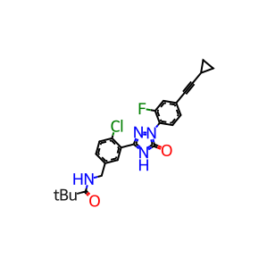 CC(C)(C)C(=O)NCc1ccc(Cl)c(-c2nn(-c3ccc(C#CC4CC4)cc3F)c(=O)[nH]2)c1